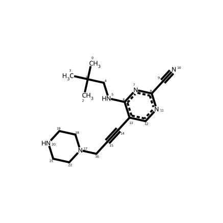 CC(C)(C)CNc1nc(C#N)ncc1C#CCN1CCNCC1